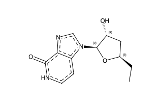 CC[C@@H]1C[C@@H](O)[C@H](n2cnc3c(=O)[nH]ccc32)O1